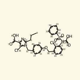 CCCc1nc(C(=O)O)c(Cl)n1Cc1ccc(OCc2cccc(N(C(=O)O)S(=O)(=O)c3ccccc3)c2Cl)cc1